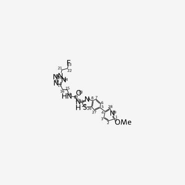 COc1ccc(-c2ccc3nc(NC(=O)NCCc4nnn(CCF)n4)sc3c2)cn1